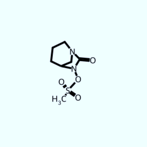 CS(=O)(=O)ON1C(=O)N2CCCC1C2